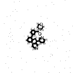 O=C(c1cccc(-c2ccccc2CC(c2cccnc2)c2cccnc2)c1)N1CCOCC1